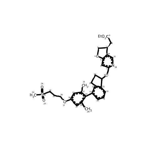 CCOC(=O)C[C@@H]1COc2cc(OC3CCc4c(-c5c(C)cc(OCCCS(C)(=O)=O)cc5C)cccc43)ncc21